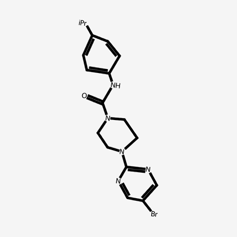 CC(C)c1ccc(NC(=O)N2CCN(c3ncc(Br)cn3)CC2)cc1